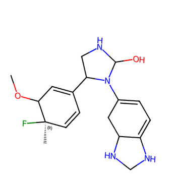 COC1C=C(C2CNC(O)N2C2=CC=C3NCNC3C2)C=C[C@@]1(C)F